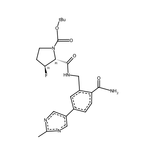 Cc1ncc(-c2ccc(C(N)=O)c(CNC(=O)[C@@H]3[C@@H](F)CCN3C(=O)OC(C)(C)C)c2)cn1